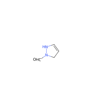 O=CN1CC=CN1